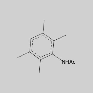 CC(=O)Nc1c(C)c(C)cc(C)c1C